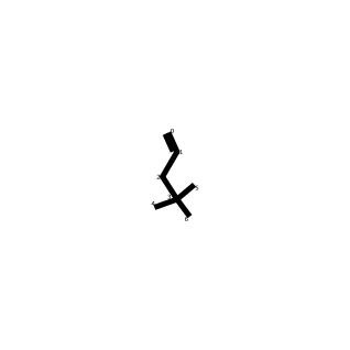 C=[C]CC(C)(C)C